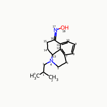 CC(C)CN1CCc2cccc3c2C1CC/C3=N/O